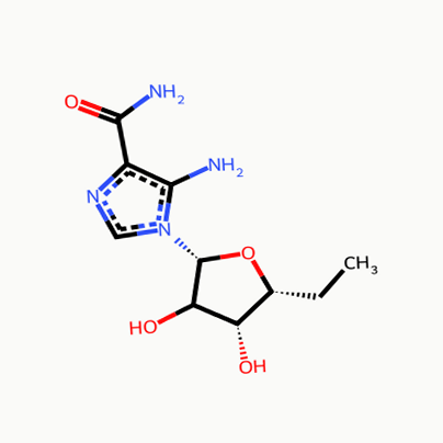 CC[C@H]1O[C@@H](n2cnc(C(N)=O)c2N)C(O)[C@H]1O